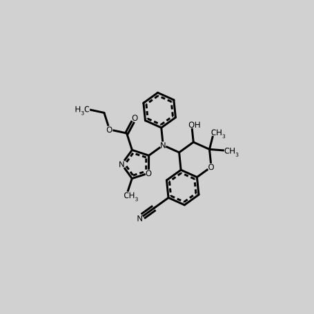 CCOC(=O)c1nc(C)oc1N(c1ccccc1)C1c2cc(C#N)ccc2OC(C)(C)C1O